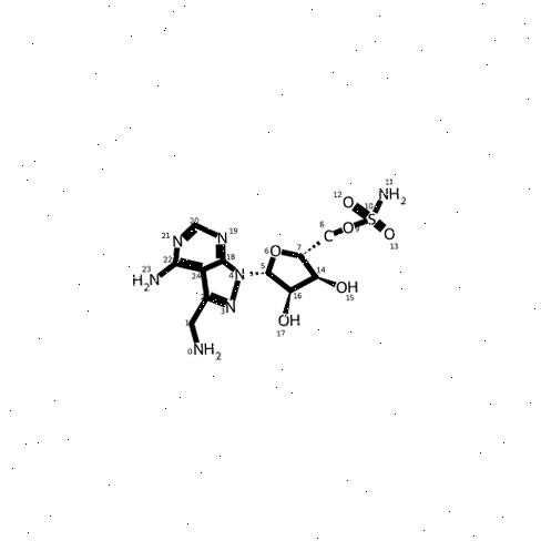 NCc1nn([C@@H]2O[C@H](COS(N)(=O)=O)[C@@H](O)[C@H]2O)c2ncnc(N)c12